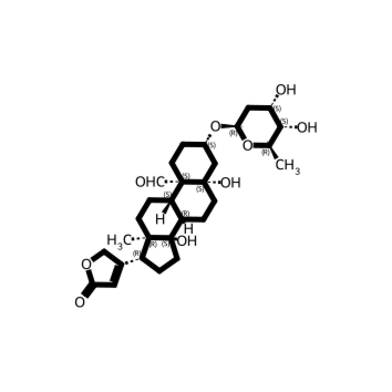 C[C@H]1O[C@@H](O[C@H]2CC[C@]3(C=O)[C@H]4CC[C@]5(C)[C@@H](C6=CC(=O)OC6)CC[C@]5(O)[C@@H]4CC[C@]3(O)C2)C[C@H](O)[C@@H]1O